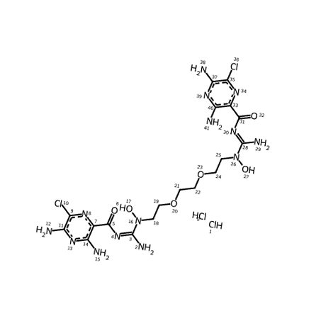 Cl.Cl.NC(=NC(=O)c1nc(Cl)c(N)nc1N)N(O)CCOCCOCCN(O)C(N)=NC(=O)c1nc(Cl)c(N)nc1N